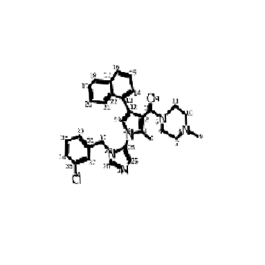 Cc1c(C(=O)N2CCN(C)CC2)c(-c2cccc3ccccc23)cn1-c1cncn1Cc1cccc(Cl)c1